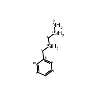 N[SiH2]C[SiH2]Cc1ccccc1